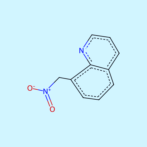 O=[N+]([O-])Cc1cccc2cccnc12